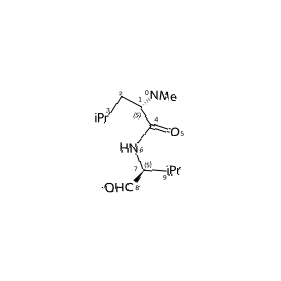 CN[C@@H](CC(C)C)C(=O)N[C@H]([C]=O)C(C)C